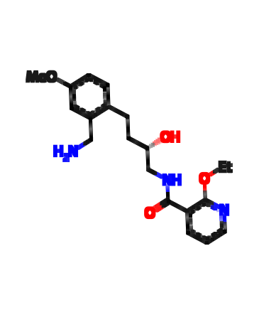 CCOc1ncccc1C(=O)NC[C@@H](O)CCc1ccc(OC)cc1CN